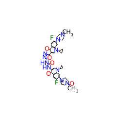 CC(=O)N1CCN(c2cc3c(cc2F)c(=O)c(NC(=O)Nc2nnc(-c4cn(C5CC5)c5cc(N6CCN(C)CC6)c(F)cc5c4=O)o2)cn3C2CC2)CC1